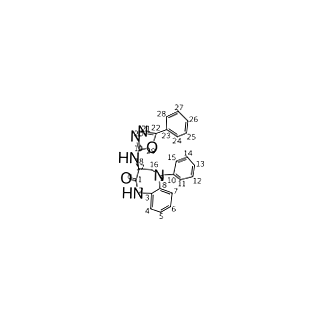 O=C1Nc2ccccc2N(c2ccccc2)C[C@@H]1Nc1nnc(-c2ccccc2)o1